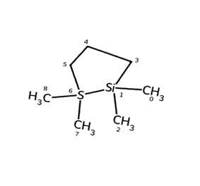 C[Si]1(C)CCCS1(C)C